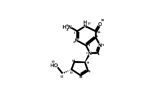 Nc1nc2c(ncn2[C@H]2C=C[C@H](CO)C2)c(=O)[nH]1